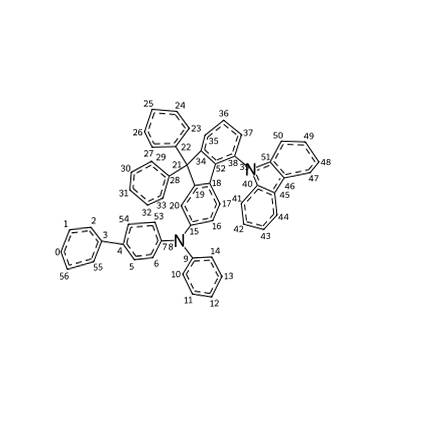 c1ccc(-c2ccc(N(c3ccccc3)c3ccc4c(c3)C(c3ccccc3)(c3ccccc3)c3cccc(-n5c6ccccc6c6ccccc65)c3-4)cc2)cc1